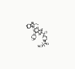 CCc1nc2ccccc2n1-c1nc(N2CCOCC2)c2nc(C(=O)N3CCN(C(=O)C(C)(C)O)CC3)n(C)c2n1